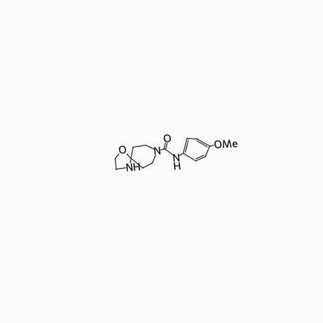 COc1ccc(NC(=O)N2CCC3(CC2)NCCO3)cc1